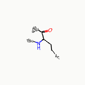 CC(=O)CCC(NC(C)(C)C)C(=O)C(C)(C)C